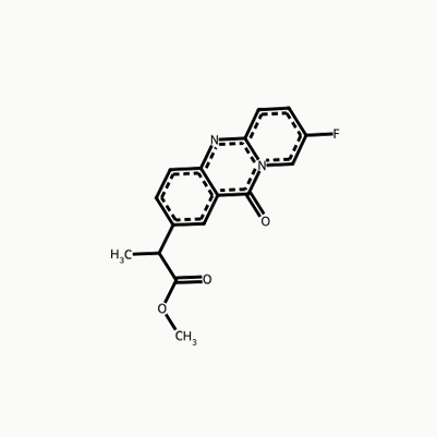 COC(=O)C(C)c1ccc2nc3ccc(F)cn3c(=O)c2c1